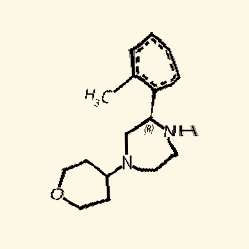 Cc1ccccc1[C@@H]1CN(C2CCOCC2)CCN1